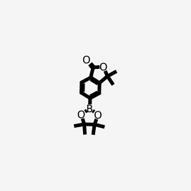 CC1(C)OC(=O)c2ccc(B3OC(C)(C)C(C)(C)O3)cc21